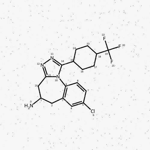 NC1Cc2cc(Cl)ccc2-n2c(nnc2C2CCC(C(F)(F)F)CC2)C1